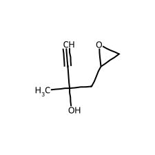 C#CC(C)(O)CC1CO1